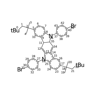 CC(C)(C)CC(C)(C)c1ccc2c(c1)C1C=c3c(c4cc(C(C)(C)CC(C)(C)C)ccc4n3-c3ccc(Br)cc3)=CC1N2c1ccc(Br)cc1